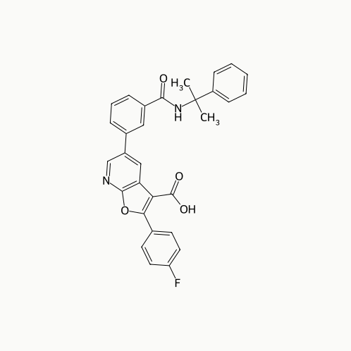 CC(C)(NC(=O)c1cccc(-c2cnc3oc(-c4ccc(F)cc4)c(C(=O)O)c3c2)c1)c1ccccc1